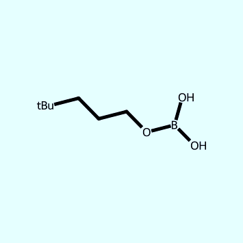 CC(C)(C)CCCOB(O)O